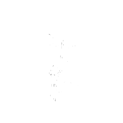 COC(=O)[C@@H](C)C[C@H](Cc1ccccc1)NC(=O)c1csc([C@@H](C[C@H](C(C)C)N(C)C(=O)[C@@H](NC(=O)[C@H]2CCCCN2C)C23CC(C(C)(C)C)(C2)C3)OC(C)=O)n1